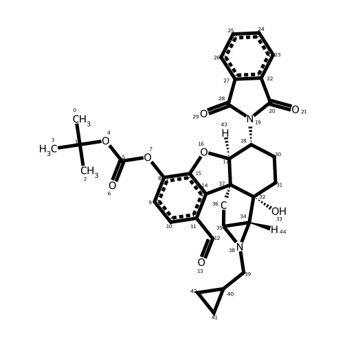 CC(C)(C)OC(=O)Oc1ccc(C=O)c2c1O[C@H]1[C@H](N3C(=O)c4ccccc4C3=O)CC[C@@]3(O)[C@H]4C(C[C@]213)N4CC1CC1